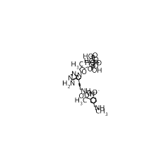 CNCc1ccc([N+](=O)[O-])c(C(C)OC(=O)NCC#Cc2cn([C@H]3CC(C)[C@@H](COP(=O)(O)OP(=O)(O)OP(=O)(O)O)O3)c3ncnc(N)c23)c1